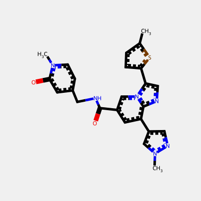 Cc1ccc(-c2cnc3c(-c4cnn(C)c4)cc(C(=O)NCc4ccn(C)c(=O)c4)cn23)s1